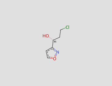 O[C@H](CCCl)c1ccon1